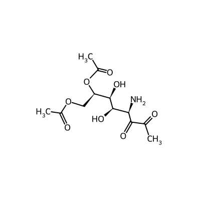 CC(=O)OC[C@@H](OC(C)=O)[C@@H](O)[C@H](O)[C@@H](N)C(=O)C(C)=O